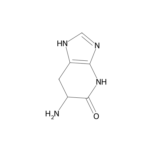 NC1Cc2[nH]cnc2NC1=O